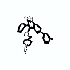 Cc1cccc(-c2ccc3[nH]c(=O)c(-c4cccs4)c(OCC4CCNCC4)c3c2)c1